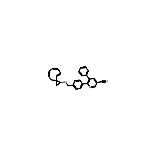 N#Cc1cnc(-c2ccc(CN[C@H]3CC34/C=C/C=C\C=C/C4)cc2)c(-c2ccccc2)c1